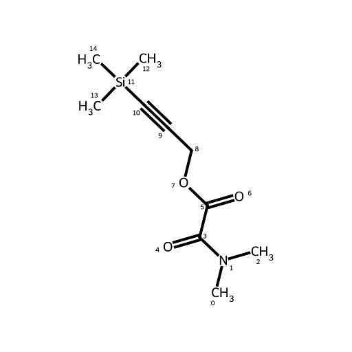 CN(C)C(=O)C(=O)OCC#C[Si](C)(C)C